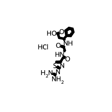 Cl.NC(N)=Nc1nc(C(=O)NCC(=O)NC(CC(=O)O)c2ccccc2)cs1